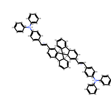 C1=CC2c3ccc(/C=C/c4ccc(N(c5ccccc5)c5ccccc5)cc4)cc3C3(c4ccccc4C4C=CC(/C=C/c5ccc(N(c6ccccc6)c6ccccc6)cc5)=CC43)C2C=C1